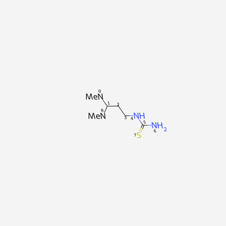 CNC(CCNC(N)=S)NC